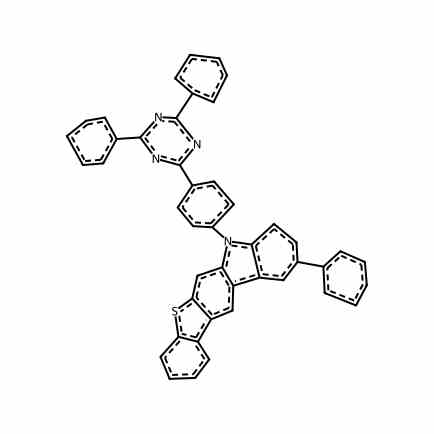 c1ccc(-c2ccc3c(c2)c2cc4c(cc2n3-c2ccc(-c3nc(-c5ccccc5)nc(-c5ccccc5)n3)cc2)sc2ccccc24)cc1